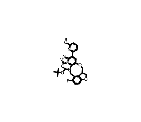 COc1cccc(-c2cc3c(n4cnnc24)N(C(=O)OC(C)(C)C)Cc2c(F)ccc4c2C(CO4)CO3)n1